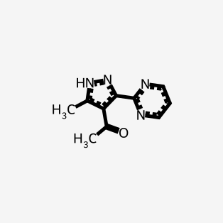 CC(=O)c1c(-c2ncccn2)n[nH]c1C